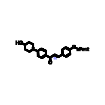 CCCCCOc1ccc(/C=C/C(=O)c2ccc(N3CCC(O)CC3)cc2)cc1